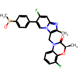 Cc1nc2cc(F)c(-c3ccc([S+](C)[O-])cc3)cn2c1CN1C(=O)[C@@H](C)Oc2c(F)cccc21